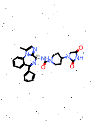 Cc1cnc2n1-c1ccccc1C(c1ccccc1)=N[C@H]2NC(=O)N1CCC(N2CC(=O)NC2=O)CC1